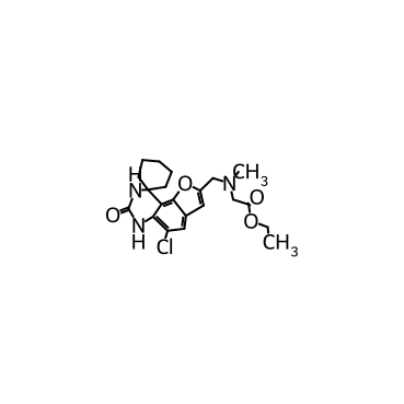 CCOC(=O)CN(C)Cc1cc2cc(Cl)c3c(c2o1)C1(CCCCC1)NC(=O)N3